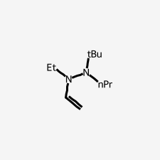 C=CN(CC)N(CCC)C(C)(C)C